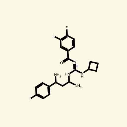 NC(CC(N)c1ccc(F)cc1)N/C(=N\C(=O)c1ccc(F)c(F)c1)NC1CCC1